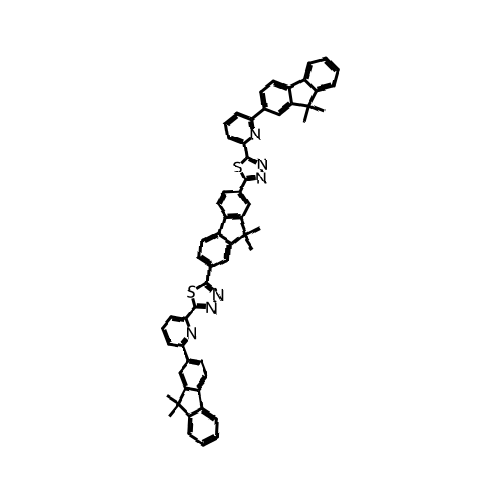 CC1(C)c2ccccc2-c2ccc(-c3cccc(-c4nnc(-c5ccc6c(c5)C(C)(C)c5cc(-c7nnc(-c8cccc(-c9ccc%10c(c9)C(C)(C)c9ccccc9-%10)n8)s7)ccc5-6)s4)n3)cc21